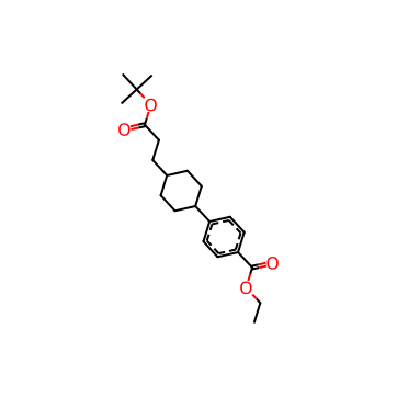 CCOC(=O)c1ccc(C2CCC(CCC(=O)OC(C)(C)C)CC2)cc1